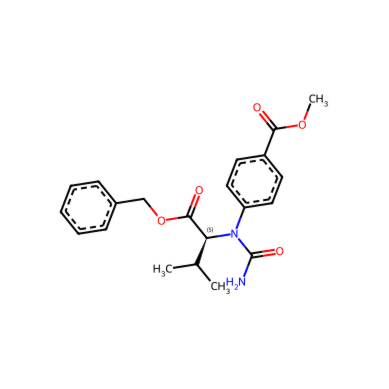 COC(=O)c1ccc(N(C(N)=O)[C@H](C(=O)OCc2ccccc2)C(C)C)cc1